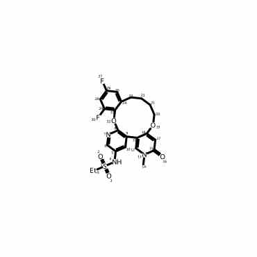 CCS(=O)(=O)Nc1cnc2c(c1)-c1cn(C)c(=O)cc1OCCCCc1cc(F)cc(F)c1O2